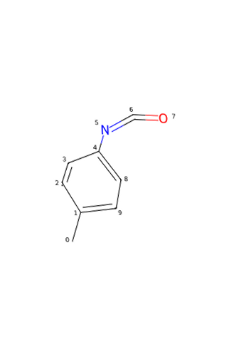 Cc1[c]cc(N=C=O)cc1